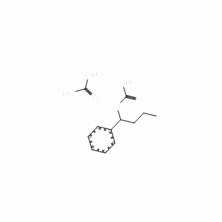 CCCC(OC(=O)O)c1ccccc1.O=C(O)O